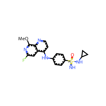 COc1nc(F)cc2c(Nc3ccc([S@@](=N)(=O)NC4CC4)cc3)ccnc12